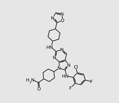 NC(=O)C1CCC(n2c(Nc3c(F)cc(F)cc3Cl)nc3cnc(NC4CCC(c5ncno5)CC4)nc32)CC1